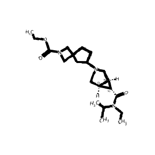 CCOC(=O)N1CC2(CCC(N3C[C@@H]4[C@H](C3)[C@H]4C(=O)N(CC)C(C)C)C2)C1